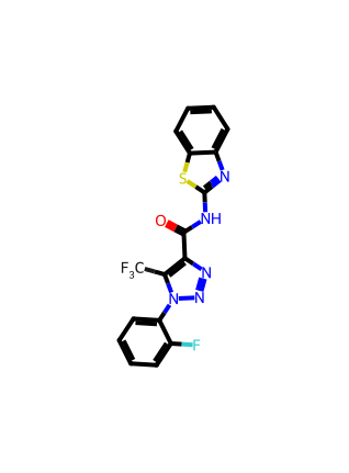 O=C(Nc1nc2ccccc2s1)c1nnn(-c2ccccc2F)c1C(F)(F)F